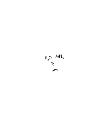 O.[AsH3].[Fe].[Sm]